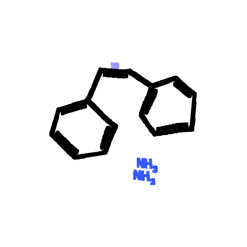 C(=C/c1ccccc1)/c1ccccc1.N.N